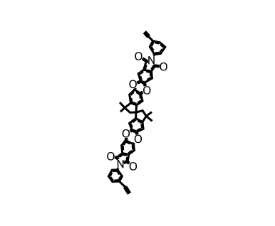 C#Cc1cccc(-n2c(=O)c3cc4oc5cc6c(cc5oc4cc3c2=O)C2(CC6(C)C)CC(C)(C)c3cc4oc5cc6c(=O)n(-c7cccc(C#C)c7)c(=O)c6cc5oc4cc32)c1